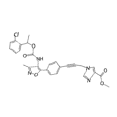 COC(=O)c1cn(CC#Cc2ccc(-c3onc(C)c3NC(=O)OC(C)c3ccccc3Cl)cc2)cn1